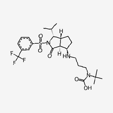 CC(C)[C@@H]1[C@@H]2CC[C@@H](NCCCN(C(=O)O)C(C)(C)C)[C@H]2C(=O)N1S(=O)(=O)c1cccc(C(F)(F)F)c1